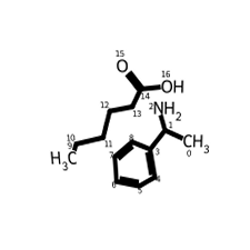 CC(N)c1ccccc1.CCCCCC(=O)O